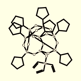 C=C[Si](C=C)(C=C)O[Si]12O[Si]3(C4CCCC4)O[Si]4(C5CCCC5)O[Si](C5CCCC5)(O1)O[Si]1(C5CCCC5)O[Si](C5CCCC5)(O2)O[Si](C2CCCC2)(O3)O[Si](C2CCCC2)(O4)O1